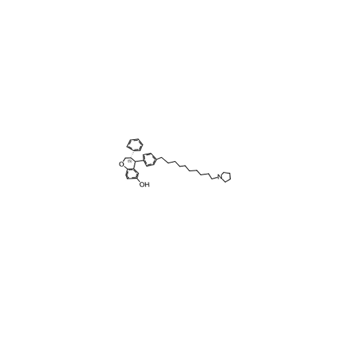 Oc1ccc2c(c1)C(c1ccc(CCCCCCCCCCN3CCCC3)cc1)[C@@H](c1ccccc1)CO2